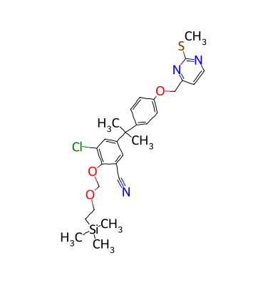 CSc1nccc(COc2ccc(C(C)(C)c3cc(Cl)c(OCOCC[Si](C)(C)C)c(C#N)c3)cc2)n1